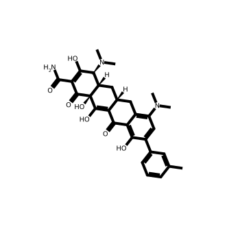 Cc1cccc(-c2cc(N(C)C)c3c(c2O)C(=O)C2=C(O)[C@]4(O)C(=O)C(C(N)=O)=C(O)[C@@H](N(C)C)[C@@H]4C[C@@H]2C3)c1